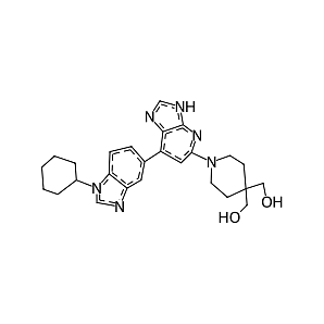 OCC1(CO)CCN(c2cc(-c3ccc4c(c3)ncn4C3CCCCC3)c3nc[nH]c3n2)CC1